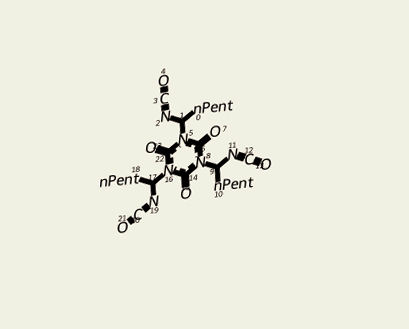 CCCCCC(N=C=O)n1c(=O)n(C(CCCCC)N=C=O)c(=O)n(C(CCCCC)N=C=O)c1=O